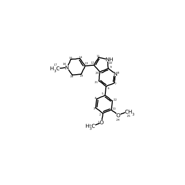 COc1ccc(-c2cnc3[nH]cc(C4=CCN(C)CC4)c3c2)cc1OC